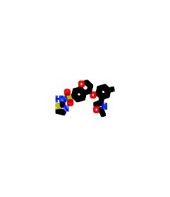 Cc1ccc(O[C@@H]2CCOc3cc(S(=O)(=O)Nc4nccs4)ccc32)c(-c2coc(C)n2)c1